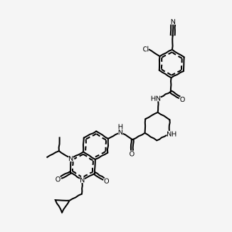 CC(C)n1c(=O)n(CC2CC2)c(=O)c2cc(NC(=O)C3CNCC(NC(=O)c4ccc(C#N)c(Cl)c4)C3)ccc21